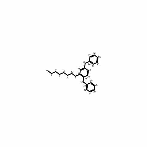 CCCCCCCCc1cc(Cc2ccccc2)ccc1Cc1ccccc1